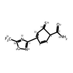 NC(=O)C1C=CC(c2noc(C(F)(F)F)n2)=CC1=S